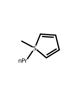 CCCS1(C)C=CC=C1